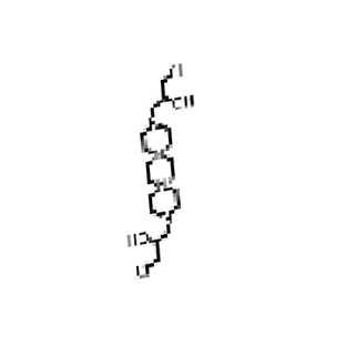 OC(CCl)CN1CC[N+]2(CC1)CC[N+]1(CCN(CC(O)CCl)CC1)CC2